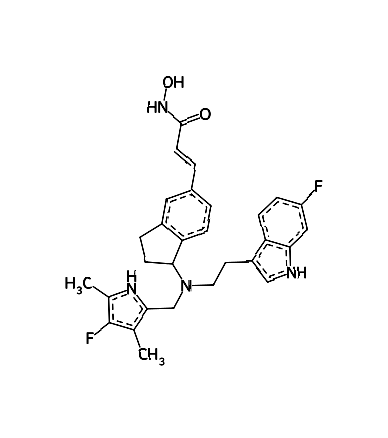 Cc1[nH]c(CN(CCc2c[nH]c3cc(F)ccc23)C2CCc3cc(C=CC(=O)NO)ccc32)c(C)c1F